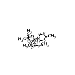 CC1CCN(C(=O)OC(C)(C)C)CC1.CCNCC